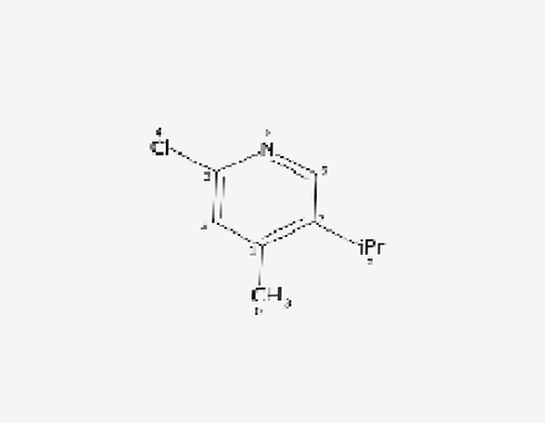 Cc1cc(Cl)ncc1C(C)C